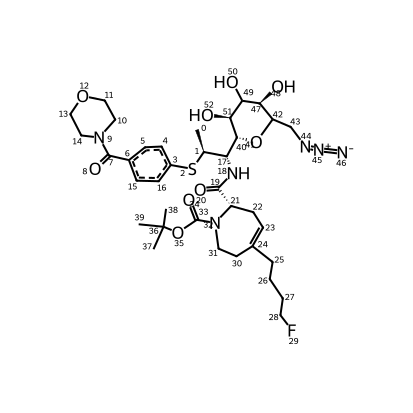 C[C@H](Sc1ccc(C(=O)N2CCOCC2)cc1)[C@@H](NC(=O)[C@@H]1CC=C(CCCCF)CCN1C(=O)OC(C)(C)C)[C@H]1OC(CN=[N+]=[N-])[C@H](O)C(O)[C@@H]1O